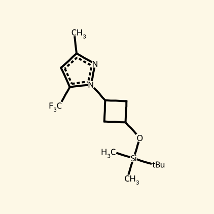 Cc1cc(C(F)(F)F)n(C2CC(O[Si](C)(C)C(C)(C)C)C2)n1